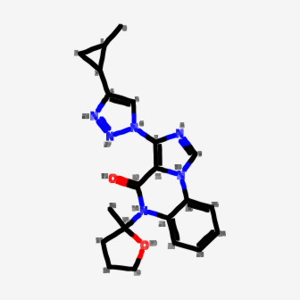 CC1CC1c1cn(-c2ncn3c2c(=O)n(C2(C)CCCO2)c2ccccc23)nn1